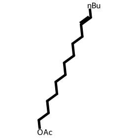 CCCCC=CCCCCCCCCCCOC(C)=O